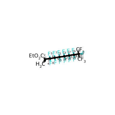 C=C(C(=O)OCC)C(F)(F)C(F)(F)C(F)(F)C(F)(F)C(F)(F)C(F)(F)C(F)(C(F)(F)F)C(F)(F)F